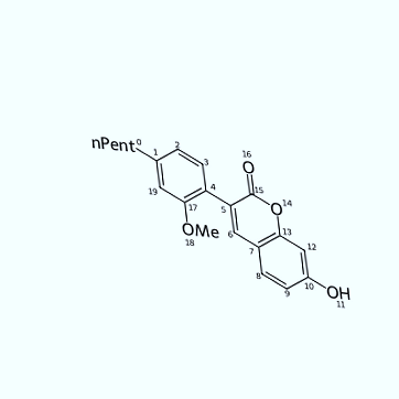 CCCCCc1ccc(-c2cc3ccc(O)cc3oc2=O)c(OC)c1